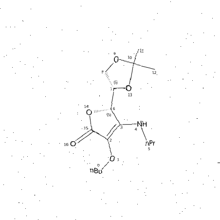 CCCCOC1=C(NCCC)[C@@H]([C@@H]2COC(C)(C)O2)OC1=O